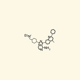 CCN(C)CC1CCC(c2nc(-c3ccc4c(C)cc(-c5ccccc5)nc4c3)c3c(N)nccn23)CC1